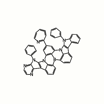 C1=CC=CN=C(c2cc3c4c(c2)-n2c5c(cccc5c5c6nccnc6n(-c6ccccc6)c52)B4c2cccc4c5c6ccccc6n(-c6ccccc6)c5n-3c24)C=1